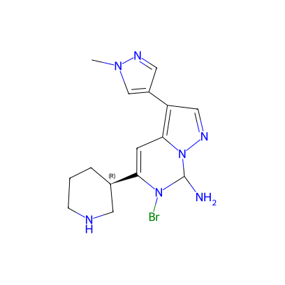 Cn1cc(-c2cnn3c2C=C([C@@H]2CCCNC2)N(Br)C3N)cn1